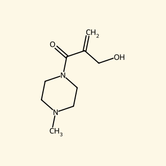 C=C(CO)C(=O)N1CCN(C)CC1